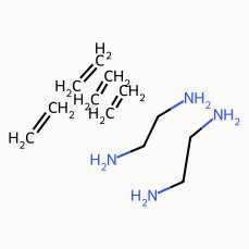 C=C.C=C.C=C.C=C.NCCN.NCCN